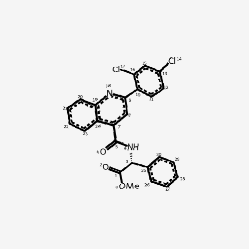 COC(=O)[C@H](NC(=O)c1cc(-c2ccc(Cl)cc2Cl)nc2ccccc12)c1ccccc1